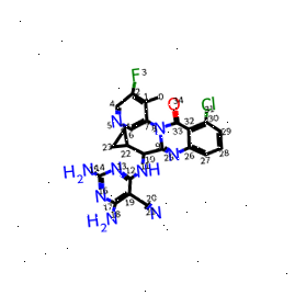 Cc1c(F)cncc1-n1c(C(Nc2nc(N)nc(N)c2C#N)C2CC2)nc2cccc(Cl)c2c1=O